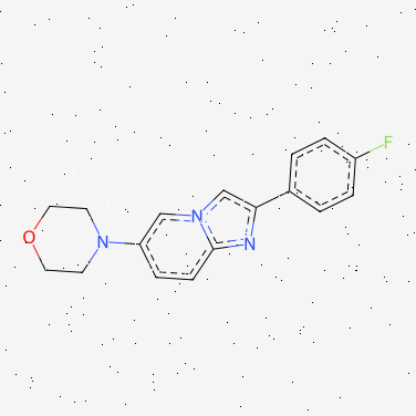 Fc1ccc(-c2cn3cc(N4CCOCC4)ccc3n2)cc1